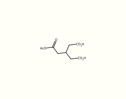 CC(=O)OC(=O)CC(CC(=O)O)CC(=O)O